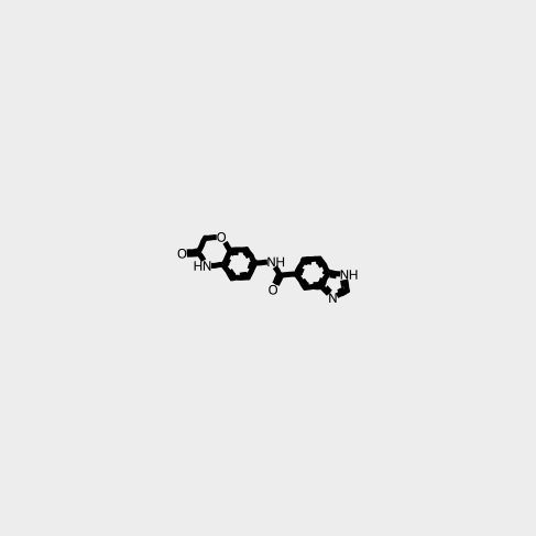 O=C1COc2cc(NC(=O)c3ccc4[nH]cnc4c3)ccc2N1